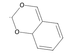 [CH]1OC=C2C=CC=CC2O1